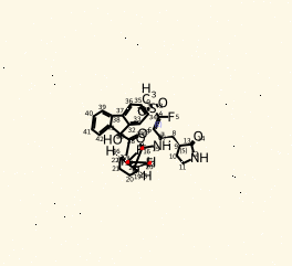 CS(=O)(=O)/C(F)=C/[C@@H](C[C@@H]1CCNC1=O)NC(=O)[C@@H]1[C@H]2CC[C@H](CC2(F)F)N1C(=O)C1(O)c2ccccc2-c2ccccc21